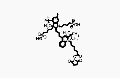 CC(C)(C)c1cc(C=CC=C2N(CCCCS(=O)(=O)O)c3cc(F)cc(C(F)(F)F)c3C2(C)CCCCS(=O)(=O)O)c2ccccc2[n+]1CCCCCC(=O)ON1C(=O)CCC1=O